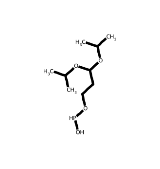 CC(C)OC(CCOPO)OC(C)C